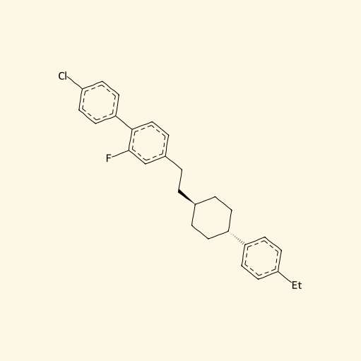 CCc1ccc([C@H]2CC[C@H](CCc3ccc(-c4ccc(Cl)cc4)c(F)c3)CC2)cc1